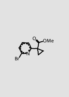 COC(=O)C1(c2cccc(Br)n2)CC1